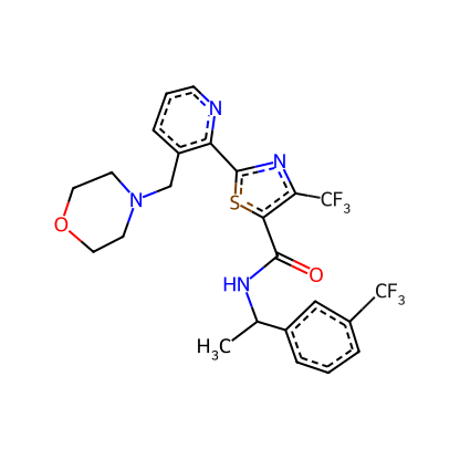 CC(NC(=O)c1sc(-c2ncccc2CN2CCOCC2)nc1C(F)(F)F)c1cccc(C(F)(F)F)c1